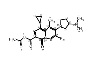 CC(=O)OC(=O)c1cc(C2CC2)c2c(C)c(N3CCC(N(C)C)C3)c(F)cn2c1=O